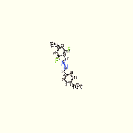 CCCc1ccc(C=NN=Cc2c(F)cc(CC)cc2F)cc1